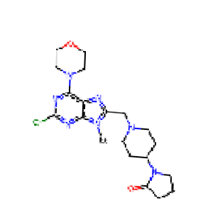 CCn1c(CN2CCC(N3CCCC3=O)CC2)nc2c(N3CCOCC3)nc(Cl)nc21